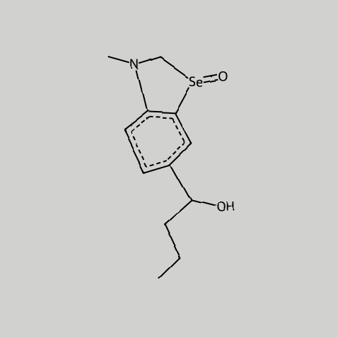 CCCC(O)c1ccc2c(c1)[Se](=O)CN2C